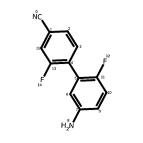 N#Cc1ccc(-c2cc(N)ccc2F)c(F)c1